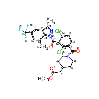 COC(=O)CC1CCN(C(=O)c2ccc(Cl)c(C(=O)n3nc(C)c4cc(C(F)(F)F)cc(C)c43)c2Cl)CC1